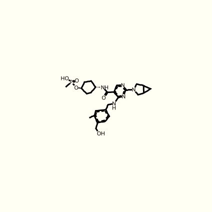 Cc1cc(CNc2nc(N3CC4CC4C3)ncc2C(=O)N[C@H]2CC[C@H](OP(C)(=O)O)CC2)ccc1CO